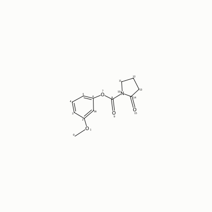 COc1cccc(OC(=O)N2CCCC2=O)c1